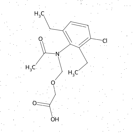 CCc1ccc(Cl)c(CC)c1N(COCC(=O)O)C(C)=O